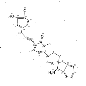 Cn1c(N2CCC3(CC2)Cc2ccccc2[C@H]3N)ncc(C#CCc2ccc(Cl)c(O)c2)c1=O